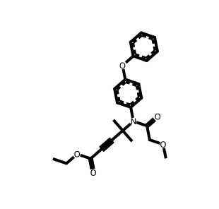 CCOC(=O)C#CC(C)(C)N(C(=O)COC)c1ccc(Oc2ccccc2)cc1